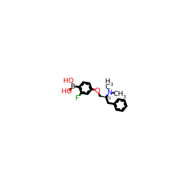 CN(C)[C@H](COc1ccc(B(O)O)c(F)c1)Cc1ccccc1